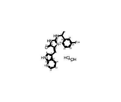 CC(NC1=NC(=Cc2c[nH]c3ncccc23)C(=O)N1)c1cccc(F)c1.Cl.Cl